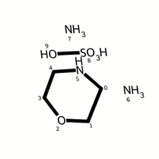 C1COCCN1.N.N.O=S(=O)(O)O